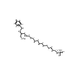 CC(C)(C)CC(COCCCCCCCCCCCCCCC(C)(F)C(F)(F)F)OCc1ccccc1